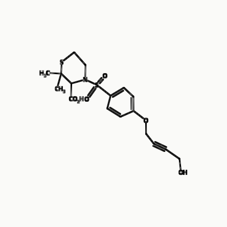 CC1(C)SCCN(S(=O)(=O)c2ccc(OCC#CCO)cc2)C1C(=O)O